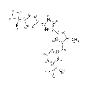 Cc1cc(-c2nc(-c3ccc(C4(F)CCC4)cc3)no2)nn1Cc1cccc(C2(O)CC2)c1